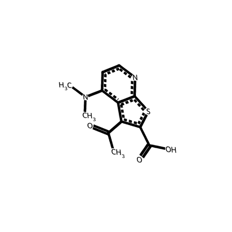 CC(=O)c1c(C(=O)O)sc2nccc(N(C)C)c12